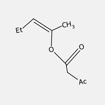 CCC=C(C)OC(=O)CC(C)=O